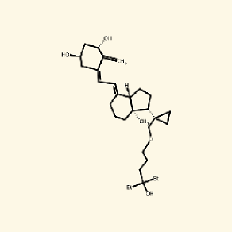 C=C1/C(=C\C=C2/CCC[C@]3(C)[C@@H](C4(COCCCC(O)(CC)CC)CC4)CC[C@@H]23)C[C@@H](O)C[C@@H]1O